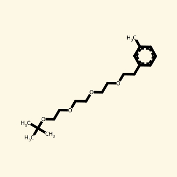 Cc1cccc(CCOCCOCCOCCOC(C)(C)C)c1